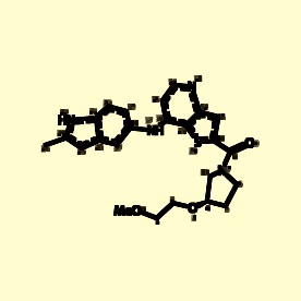 COCCO[C@@H]1CCN(C(=O)c2cc3nccc(Nc4ccc5[nH]c(C)cc5c4)c3s2)C1